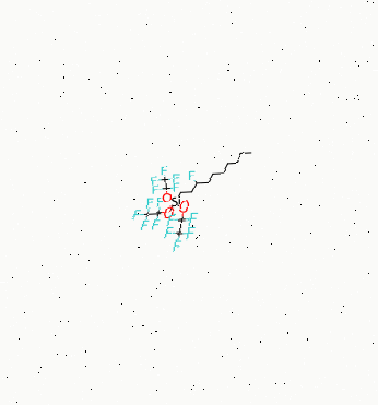 CCCCCCCC(F)CC[Si](OC(F)(F)C(F)(F)F)(OC(F)(F)C(F)(F)F)OC(F)(F)C(F)(F)F